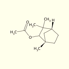 CC(=O)OC1C(C)(C)[C@@H]2CC[C@@]1(C)C2